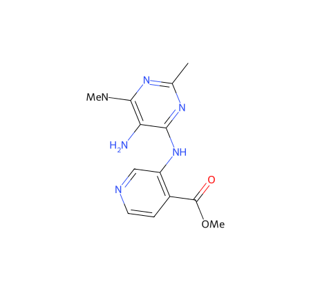 CNc1nc(C)nc(Nc2cnccc2C(=O)OC)c1N